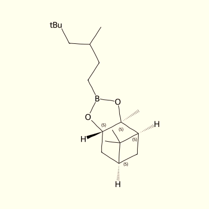 CC(CCB1O[C@H]2C[C@@H]3C[C@@H](C3(C)C)[C@]2(C)O1)CC(C)(C)C